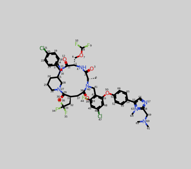 C[C@H]1C(=O)N[C@@H](COC(F)F)C(=O)N(C)[C@@]2(Cc3ccc(Cl)cc3)CCCN(C2)C(=O)[C@H](CC(F)(F)F)CC(=O)N1Cc1c(F)cc(Cl)cc1Oc1ccc(-c2cnc(CN(C)C)n2C)cc1